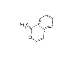 C=C1OC=Cc2ccccc21